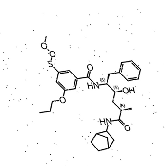 CCCOc1cc(SOOC)cc(C(=O)N[C@@H](Cc2ccccc2)[C@@H](O)C[C@@H](C)C(=O)NC2CC3CCC2C3)c1